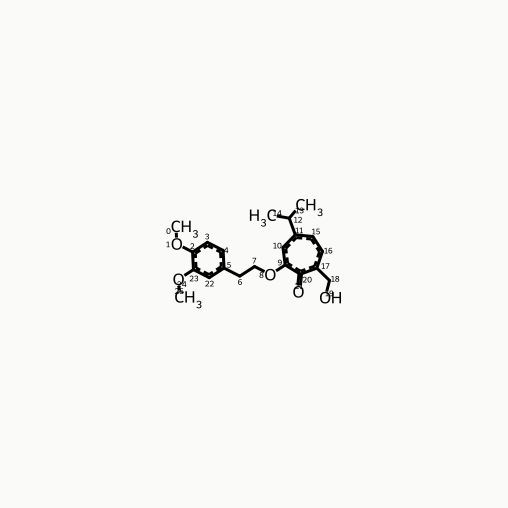 COc1ccc(CCOc2cc(C(C)C)ccc(CO)c2=O)cc1OC